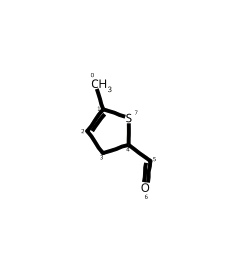 CC1=CCC(C=O)S1